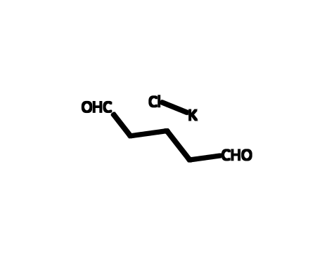 O=CCCCC=O.[Cl][K]